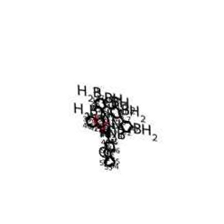 Bc1cc(B)c2c(c1)c1c(B)c(B)c3c4c(B)c(B)cc(B)c4n(-c4ccccc4)c3c1n2-c1nc(-c2ccccc2)nc(-c2ccc3c(c2)oc2ccccc23)n1